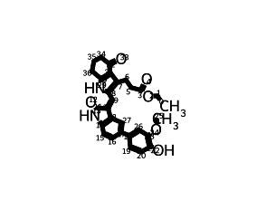 CCOC(=O)CCc1c(C=C2C(=O)Nc3ccc(-c4ccc(O)c(OC)c4)cc32)[nH]c2c1C(=O)CCC2